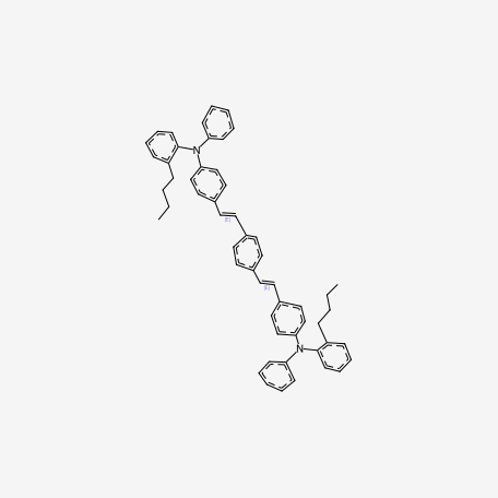 CCCCc1ccccc1N(c1ccccc1)c1ccc(/C=C/c2ccc(/C=C/c3ccc(N(c4ccccc4)c4ccccc4CCCC)cc3)cc2)cc1